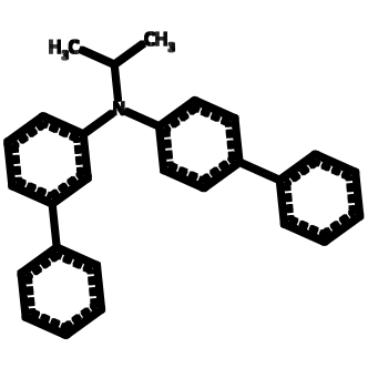 CC(C)N(c1ccc(-c2ccccc2)cc1)c1cccc(-c2ccccc2)c1